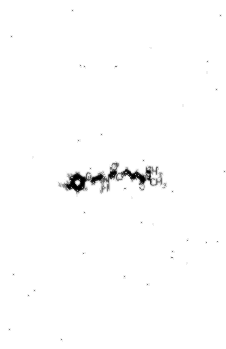 CN(C)C(=O)C=CCOC(=O)NCCOc1ccc(I)cc1